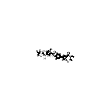 CCN(CC)C(=O)c1cc(-c2ccc(NC(=O)c3cc(NC(=O)OC(C)(C)C)cn3C)cc2)cn1C